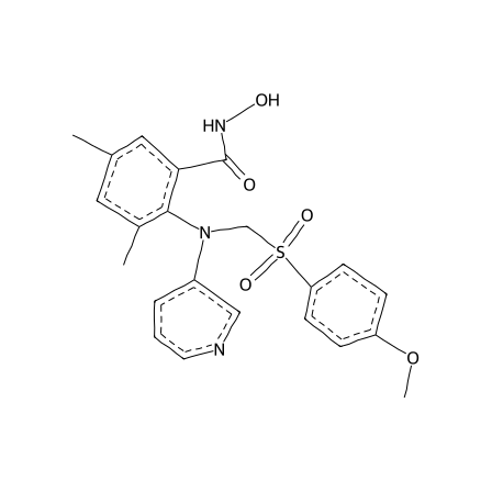 COc1ccc(S(=O)(=O)CN(c2cccnc2)c2c(C)cc(C)cc2C(=O)NO)cc1